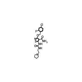 NC(=O)c1c(OCc2ccc(Cl)cc2F)nsc1NC(=O)NCCN1CCCC1